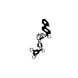 O=C(NCC(=O)N1CCN(C(=O)c2cc(Cl)cc(Cl)c2)CC1)c1ccc(-c2ccccc2)cc1